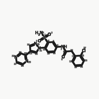 NS(=O)(=O)c1cc(NC(=O)Cc2ccccc2Cl)ccc1-n1cc(-c2cnccn2)cn1